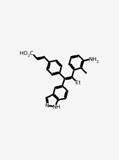 CC/C(=C(/c1ccc(/C=C/C(=O)O)cc1)c1ccc2[nH]ncc2c1)c1cccc(N)c1C